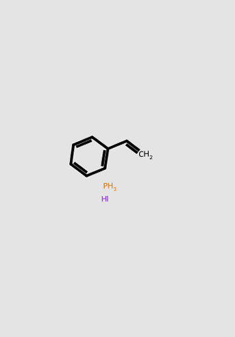 C=Cc1ccccc1.I.P